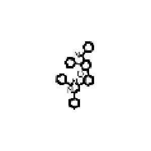 c1ccc(-c2cc(-c3cccc4c3oc3c4ccc4c(-c5ccccc5)nc5ccccc5c43)nc(-c3ccccc3)n2)cc1